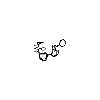 O=S(=O)(Nc1cccc(-c2ccnc(NC3CCCCC3)n2)c1)C1CC1